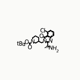 C[C@H](N)c1nc2cccc(Cl)c2c(=O)n1CC1CCCN(C(=O)OC(C)(C)C)C1